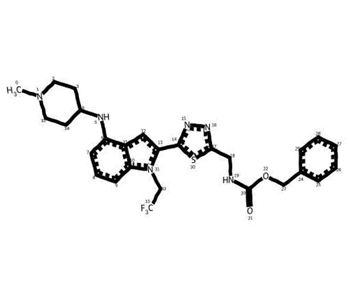 CN1CCC(Nc2cccc3c2cc(-c2nnc(CNC(=O)OCc4ccccc4)s2)n3CC(F)(F)F)CC1